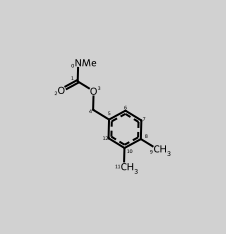 CNC(=O)OCc1ccc(C)c(C)c1